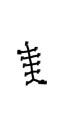 CCCCC(F)C(F)(F)C(F)(F)C(F)(F)C(F)(F)Br